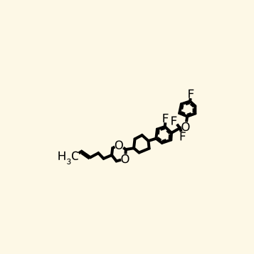 C/C=C/CCC1COC(C2CCC(c3ccc(C(F)(F)Oc4ccc(F)cc4)c(F)c3)CC2)OC1